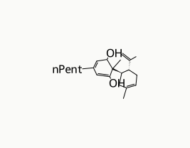 C=C(C)[C@@H]1CC=C(C)C[C@H]1C1(C)C(O)=CC(CCCCC)=CC1O